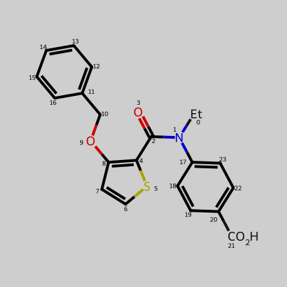 CCN(C(=O)c1sccc1OCc1ccccc1)c1ccc(C(=O)O)cc1